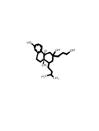 CC(C)CCC1CC(O)(CCCO)C[C@@H]2c3ccc(O)cc3CC[C@@]12C